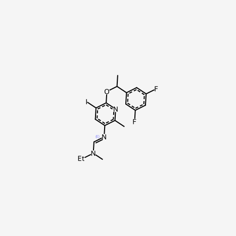 CCN(C)/C=N/c1cc(I)c(OC(C)c2cc(F)cc(F)c2)nc1C